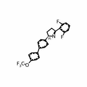 Fc1cccc(F)c1C1=N[C@@H](c2ccc(-c3ccc(OC(F)(F)F)cc3)cc2)CC1